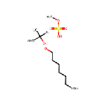 CCC(C)(O)NC.CCCCCCCCCCCCCCCC[O].COS(=O)(=O)O